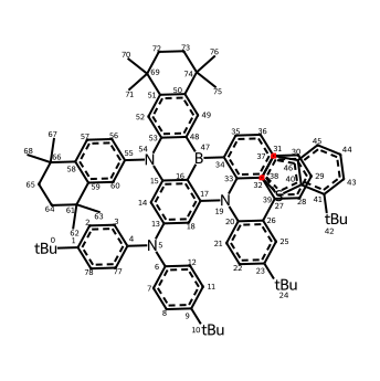 CC(C)(C)c1ccc(N(c2ccc(C(C)(C)C)cc2)c2cc3c4c(c2)N(c2ccc(C(C)(C)C)cc2-c2ccccc2)c2c(ccc5c2sc2c(C(C)(C)C)cccc25)B4c2cc4c(cc2N3c2ccc3c(c2)C(C)(C)CCC3(C)C)C(C)(C)CCC4(C)C)cc1